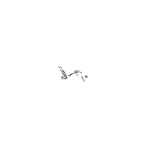 B[SiH]=O.[LiH]